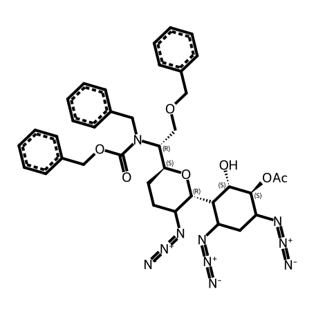 CC(=O)O[C@H]1C(N=[N+]=[N-])CC(N=[N+]=[N-])C([C@H]2O[C@H]([C@@H](COCc3ccccc3)N(Cc3ccccc3)C(=O)OCc3ccccc3)CCC2N=[N+]=[N-])[C@@H]1O